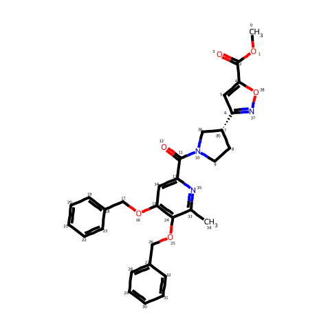 COC(=O)c1cc([C@@H]2CCN(C(=O)c3cc(OCc4ccccc4)c(OCc4ccccc4)c(C)n3)C2)no1